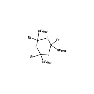 CCCCCC1(CC)SC(CC)(CCCCC)SC(CC)(CCCCC)S1